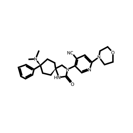 CN(C)[C@]1(c2ccccc2)CC[C@@]2(CC1)CN(c1cnc(N3CCOCC3)cc1C#N)C(=O)N2